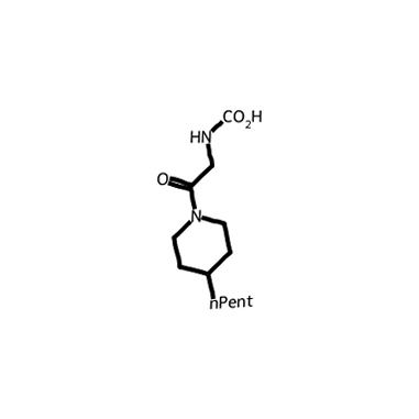 CCCCCC1CCN(C(=O)CNC(=O)O)CC1